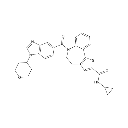 O=C(NC1CC1)c1cc2c(s1)-c1ccccc1N(C(=O)c1ccc3c(c1)ncn3C1CCOCC1)CC2